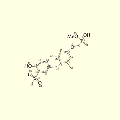 C=P(O)(COc1cc(C)c(Cc2ccc(O)c(S(C)(=O)=O)c2)c(C)c1)OC